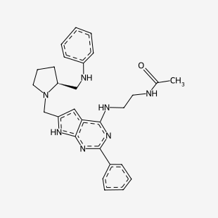 CC(=O)NCCNc1nc(-c2ccccc2)nc2[nH]c(CN3CCC[C@H]3CNc3ccccc3)cc12